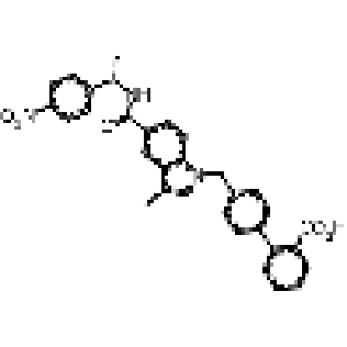 Cc1cn(Cc2ccc(-c3ccccc3C(=O)O)cc2)c2ccc(C(=O)N[C@@H](C)c3ccc([N+](=O)[O-])cc3)cc12